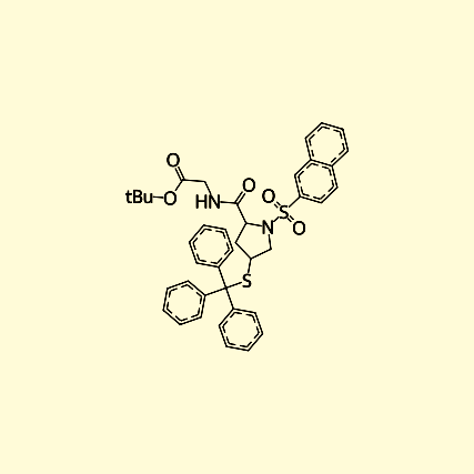 CC(C)(C)OC(=O)CNC(=O)C1CC(SC(c2ccccc2)(c2ccccc2)c2ccccc2)CN1S(=O)(=O)c1ccc2ccccc2c1